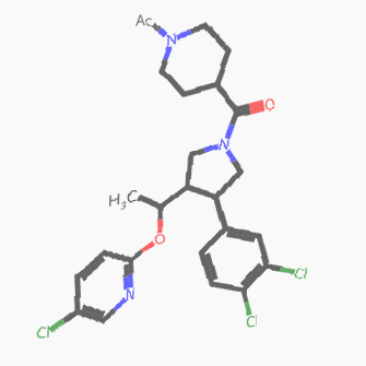 CC(=O)N1CCC(C(=O)N2CC(c3ccc(Cl)c(Cl)c3)C(C(C)Oc3ccc(Cl)cn3)C2)CC1